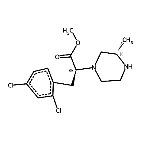 COC(=O)[C@H](Cc1ccc(Cl)cc1Cl)N1CCN[C@@H](C)C1